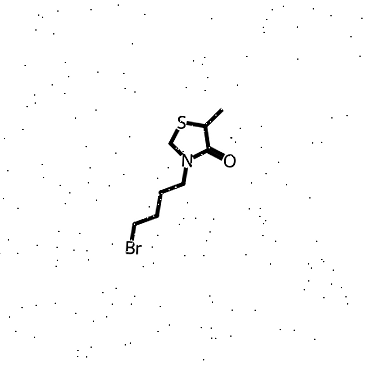 CC1SCN(CCCCBr)C1=O